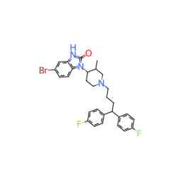 CC1CN(CCCC(c2ccc(F)cc2)c2ccc(F)cc2)CCC1n1c(=O)[nH]c2cc(Br)ccc21